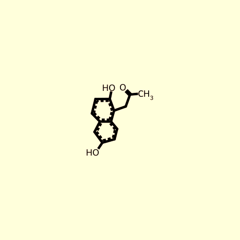 CC(=O)Cc1c(O)ccc2cc(O)ccc12